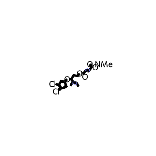 C/C=C(\C)C(CCOC(=O)/C=C/C(=O)ONC)Oc1ccc(Cl)c(Cl)c1